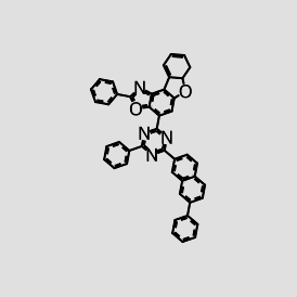 C1=CCC2Oc3cc(-c4nc(-c5ccccc5)nc(-c5ccc6ccc(-c7ccccc7)cc6c5)n4)c4oc(-c5ccccc5)nc4c3C2=C1